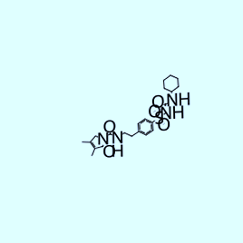 CC1=C(C)C(=O)N(C(=O)NCCc2ccc(S(=O)(=O)NC(=O)NC3CCCCC3)cc2)C1